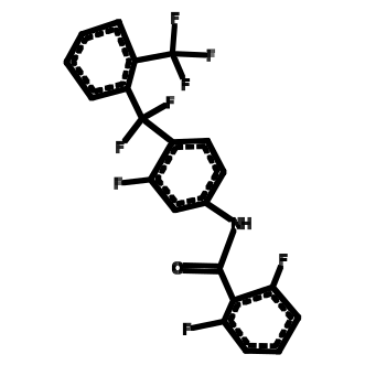 O=C(Nc1ccc(C(F)(F)c2ccccc2C(F)(F)F)c(F)c1)c1c(F)cccc1F